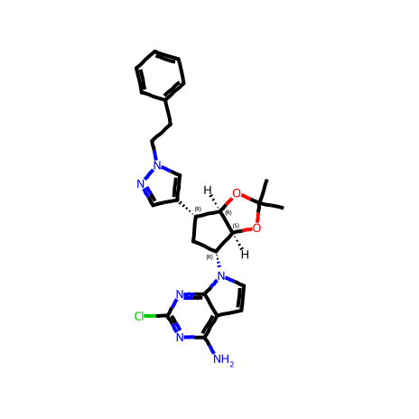 CC1(C)O[C@@H]2[C@H](O1)[C@@H](c1cnn(CCc3ccccc3)c1)C[C@H]2n1ccc2c(N)nc(Cl)nc21